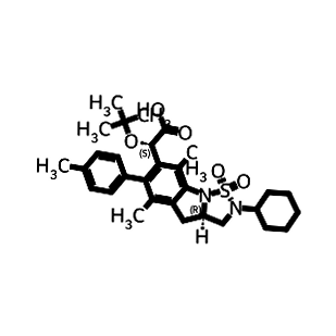 Cc1ccc(-c2c(C)c3c(c(C)c2[C@H](OC(C)(C)C)C(=O)O)N2[C@H](C3)CN(C3CCCCC3)S2(=O)=O)cc1